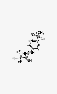 CS(=O)(=O)c1ccc(NNC(=N)C(F)(F)F)cn1